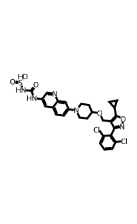 O=C(Nc1cnc2cc(N3CCC(OCc4c(-c5c(Cl)cccc5Cl)noc4C4CC4)CC3)ccc2c1)N[SH](=O)=O